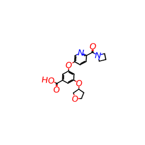 O=C(O)c1cc(Oc2ccc(C(=O)N3CCC3)nc2)cc(O[C@H]2CCOC2)c1